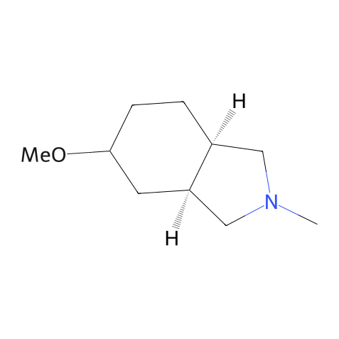 COC1CC[C@H]2CN(C)C[C@H]2C1